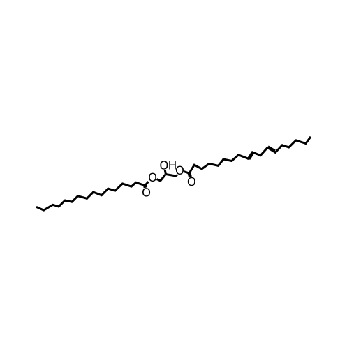 CCCCC/C=C/C/C=C/CCCCCCCC(=O)OCC(O)COC(=O)CCCCCCCCCCCCCCC